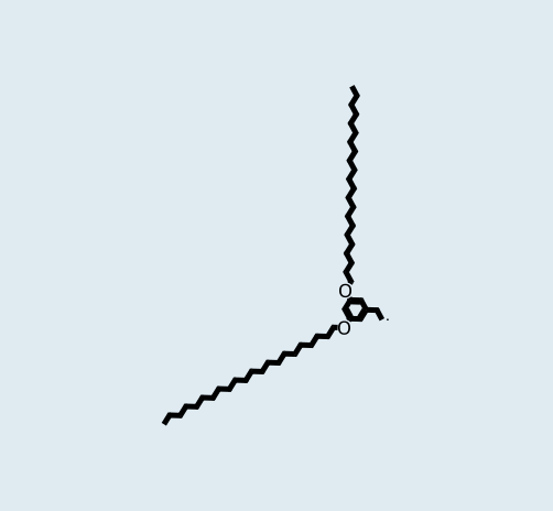 [CH2]Cc1cc(OCCCCCCCCCCCCCCCCCCCCCC)cc(OCCCCCCCCCCCCCCCCCCCCCC)c1